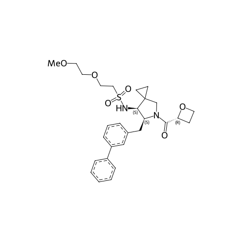 COCCOCCS(=O)(=O)N[C@@H]1[C@H](Cc2cccc(-c3ccccc3)c2)N(C(=O)[C@H]2CCO2)CC12CC2